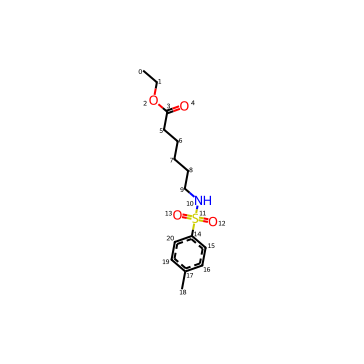 CCOC(=O)CCCCCNS(=O)(=O)c1ccc(C)cc1